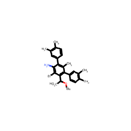 CCc1c(N)c(-c2ccc(C)c(C)c2)c(C)c(-c2ccc(C)c(C)c2)c1C(OC(C)(C)C)C(=O)O